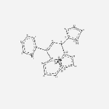 C(=C(c1ccccn1)c1ccccn1)P(c1ccc[nH]1)c1ccc[nH]1